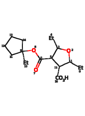 CCC1OC(CC)C(C(=O)OC2(CC)CCCC2)C1C(=O)O